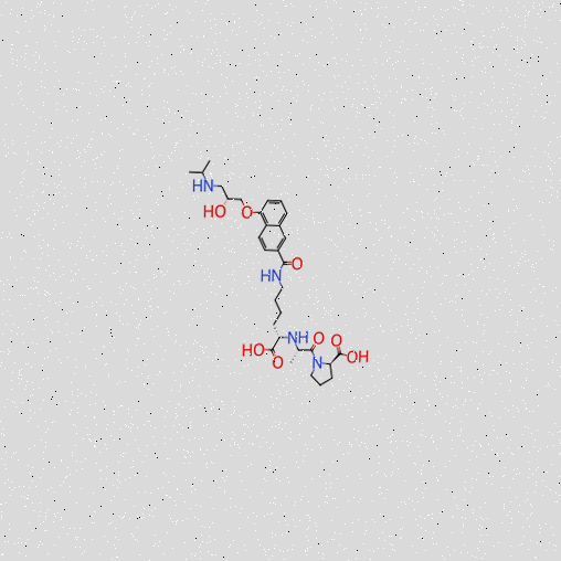 CC(C)NC[C@@H](O)COc1cccc2cc(C(=O)NCCCC[C@H](N[C@@H](C)C(=O)N3CCC[C@@H]3C(=O)O)C(=O)O)ccc12